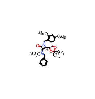 COc1ccc(CN2C(=O)[C@H](N(Cc3ccccc3)C(=O)O)[C@@H]2[C@H]2COC(C)(C)O2)c(OC)c1